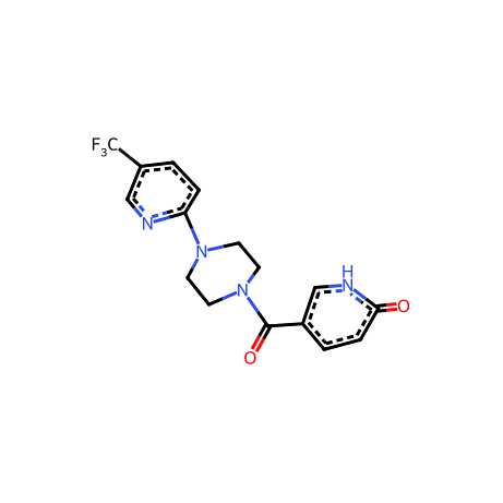 O=C(c1ccc(=O)[nH]c1)N1CCN(c2ccc(C(F)(F)F)cn2)CC1